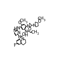 C=CC(=O)Nc1cc(Nc2nccc(-n3c(=O)n4c5c(cc(F)cc53)CCC4)n2)c(OC)cc1N1CC(N2CCC(OC)C2)C1